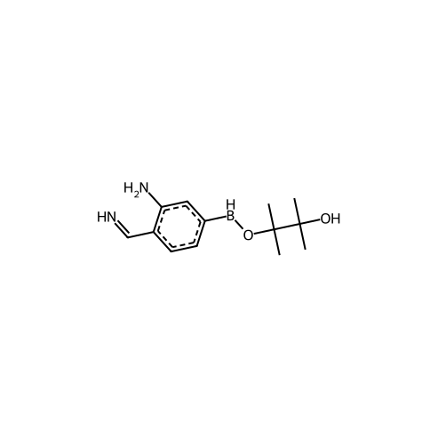 CC(C)(O)C(C)(C)OBc1ccc(C=N)c(N)c1